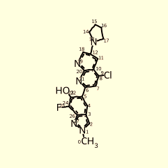 Cn1cc2cc(-c3cc(Cl)c4cc(N5CCCC5)cnc4n3)c(O)c(F)c2n1